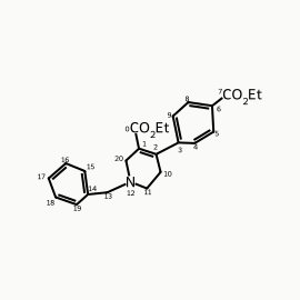 CCOC(=O)C1=C(c2ccc(C(=O)OCC)cc2)CCN(Cc2ccccc2)C1